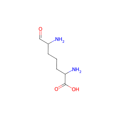 NC(C=O)CCCC(N)C(=O)O